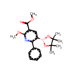 COC(=O)c1cc(B2OC(C)(C)C(C)(C)O2)c(-c2ccccc2)nc1OC